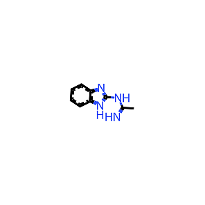 CC(=N)Nc1nc2ccccc2[nH]1